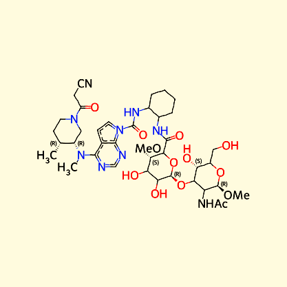 CO[C@@H]1OC(CO)[C@@H](O)C(O[C@@H]2OC(C(=O)NC3CCCCC3NC(=O)n3ccc4c(N(C)[C@H]5CN(C(=O)CC#N)CC[C@H]5C)ncnc43)[C@@H](OC)C(O)C2O)C1NC(C)=O